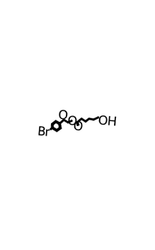 O=C(CCCCCO)OCC(=O)c1ccc(Br)cc1